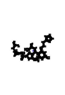 C=C(N)/N=C(\C1=C(N)CN(C(=O)NC2C[C@H]2CN(C)C)C1)c1c(Cl)cc(Cl)cc1OCCn1cccn1